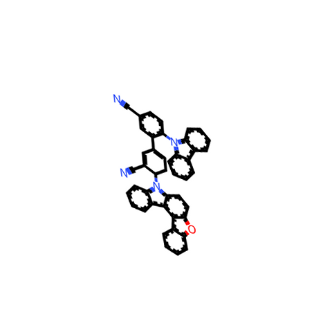 N#CC1=CC(c2cc(C#N)ccc2-n2c3ccccc3c3ccccc32)=CCC1n1c2ccccc2c2c3c(ccc21)oc1ccccc13